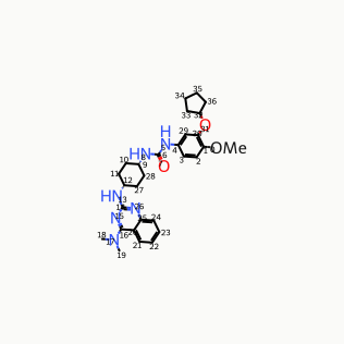 COc1ccc(NC(=O)N[C@H]2CC[C@@H](Nc3nc(N(C)C)c4ccccc4n3)CC2)cc1OC1CCCC1